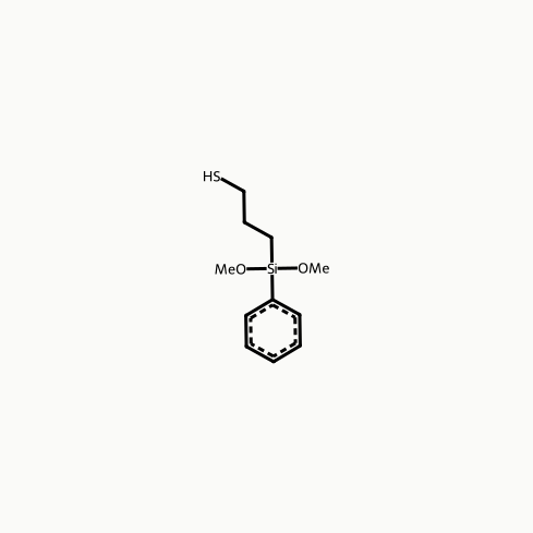 CO[Si](CCCS)(OC)c1ccccc1